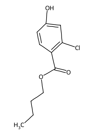 CCCCOC(=O)c1ccc(O)cc1Cl